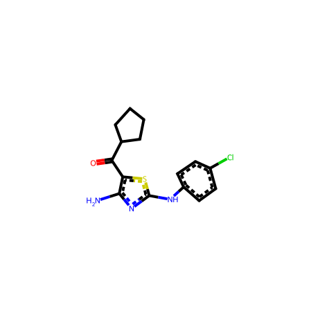 Nc1nc(Nc2ccc(Cl)cc2)sc1C(=O)C1CCCC1